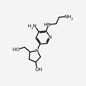 NCCNc1ncc(N2CC(O)CC2CO)cc1N